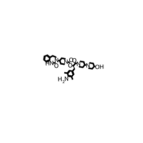 Cc1cc(C[C@@H](OC(=O)N2CCC(N3CCc4ccccc4NC3=O)CC2)C(=O)N2CCC(N3CCC(O)CC3)CC2)cc(C)c1N